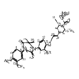 CCc1cc(N2C(=S)N(c3ccc(C#N)c(C(F)(F)F)c3)C(=O)C2(C)C)ccc1OCCN1C[C@@H](C)N(C(=O)OC(C)(C)C)[C@H](C)C1